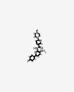 CN1CCN(c2ccc(C(=O)Nc3nc(-c4ccc(F)cc4)ccc3N)cn2)CC1